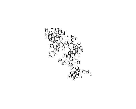 CCC(CC1OCC1(OC(C)=O)C1CC(=O)C(=O)C2=C(C)[C@@H](OC(=O)C(O[Si](C)(C)C(C)(C)C)[C@@H](NC(=O)c3ccccc3)c3ccccc3)CC(O)([C@H]1O)C2(C)C)O[Si](CC)(CC)CC